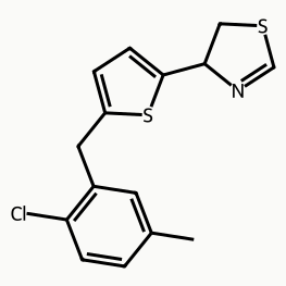 Cc1ccc(Cl)c(Cc2ccc(C3CSC=N3)s2)c1